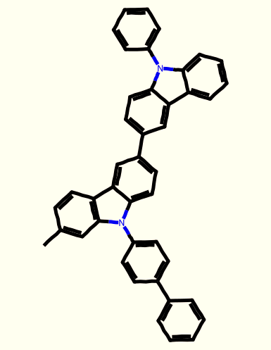 Cc1ccc2c3cc(-c4ccc5c(c4)c4ccccc4n5-c4ccccc4)ccc3n(-c3ccc(-c4ccccc4)cc3)c2c1